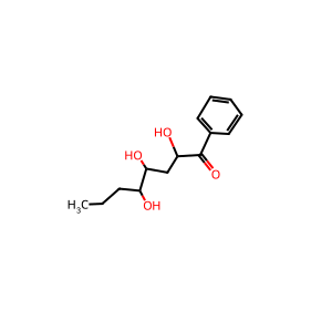 CCCC(O)C(O)CC(O)C(=O)c1ccccc1